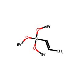 CC=C[Si](OC(C)C)(OC(C)C)OC(C)C